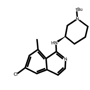 Cc1cc(Cl)cc2ccnc(N[C@@H]3CCCN(C(C)(C)C)C3)c12